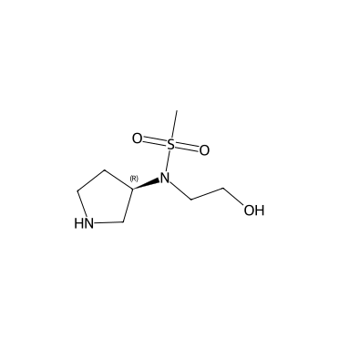 CS(=O)(=O)N(CCO)[C@@H]1CCNC1